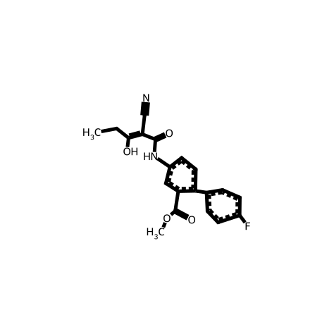 CCC(O)=C(C#N)C(=O)Nc1ccc(-c2ccc(F)cc2)c(C(=O)OC)c1